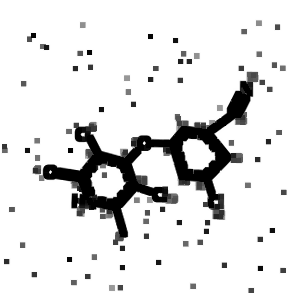 Cc1[nH]c(=O)c(Cl)c(Oc2cc(Cl)cc(C#N)c2)c1Cl